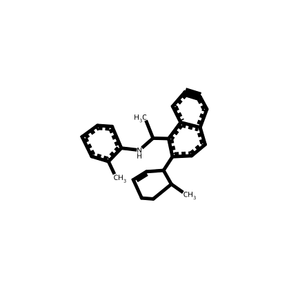 Cc1ccccc1NC(C)c1c(C2C=CCCC2C)ccc2cc#ccc12